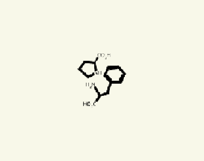 NC(Cc1ccccc1)C(=O)O.O=C(O)[C@@H]1CCCN1